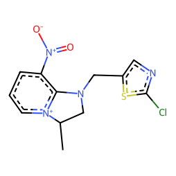 CC1CN(Cc2cnc(Cl)s2)c2c([N+](=O)[O-])ccc[n+]21